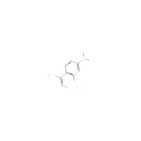 CCOC(=O)/C=C(/C)c1ccc(N(CC)CC)cc1O